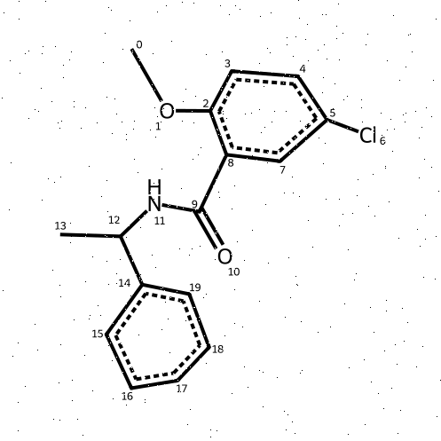 COc1ccc(Cl)cc1C(=O)NC(C)c1ccccc1